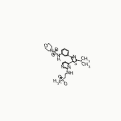 CC(C)c1nc(-c2cccc(NS(=O)(=O)N3CCOCC3)c2)c(-c2ccnc(NCCS(C)(=O)=O)n2)s1